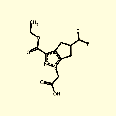 CCOC(=O)c1nn(CC(=O)O)c2c1CC(C(F)F)C2